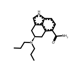 CCCN(CCC)[C@H]1Cc2c[nH]c3ccc(C(N)=O)c(c23)C1